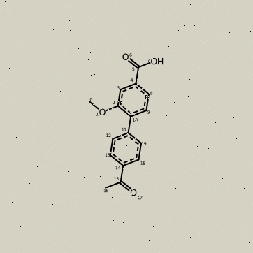 COc1cc(C(=O)O)ccc1-c1ccc(C(C)=O)cc1